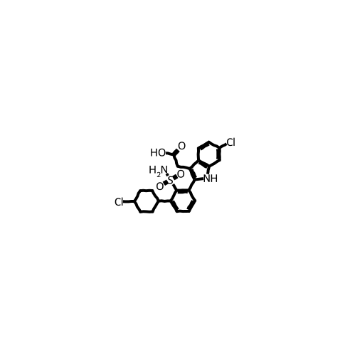 NS(=O)(=O)c1c(-c2[nH]c3cc(Cl)ccc3c2CC(=O)O)cccc1C1CCC(Cl)CC1